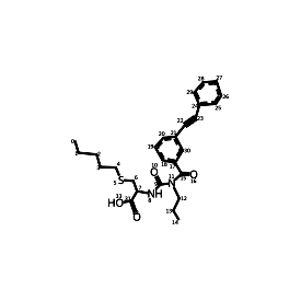 CCCCCSCC(NC(=O)N(CCC)C(=O)c1cccc(C#Cc2ccccc2)c1)C(=O)O